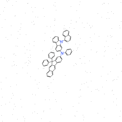 c1ccc(N(c2ccc3c(c2)C(c2ccccc2)(c2ccccc2)c2cc4ccccc4cc2-3)c2ccc3c4ccccc4n(-c4cccc5ccccc45)c3c2)cc1